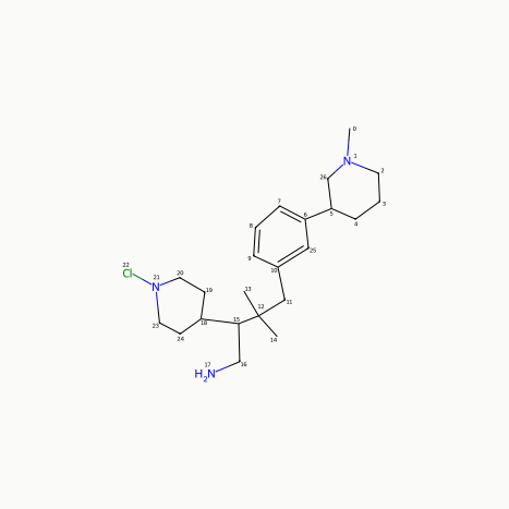 CN1CCCC(c2cccc(CC(C)(C)C(CN)C3CCN(Cl)CC3)c2)C1